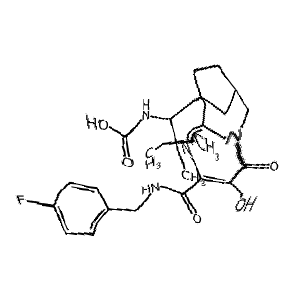 CC(C)(C)C(NC(=O)O)C12CCC(Cn3c1nc(C(=O)NCc1ccc(F)cc1)c(O)c3=O)C2